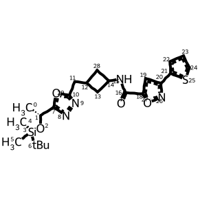 C[C@@H](O[Si](C)(C)C(C)(C)C)c1nnc(CC2CC(NC(=O)c3cc(-c4cccs4)no3)C2)o1